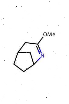 COC1=NC2CCC(C1)C2